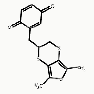 Cc1sc(C)c2c1SCC(CC1=CC(=O)C=CC1=O)S2